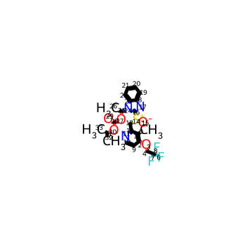 Cc1c(OCC(F)(F)F)ccnc1C[S@@+]([O-])c1nc2ccccc2n1C(C)OC(=O)OC(C)C